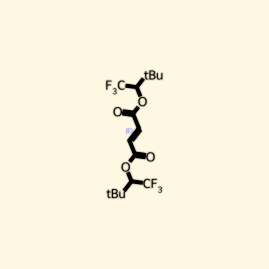 CC(C)(C)C(OC(=O)/C=C/C(=O)OC(C(C)(C)C)C(F)(F)F)C(F)(F)F